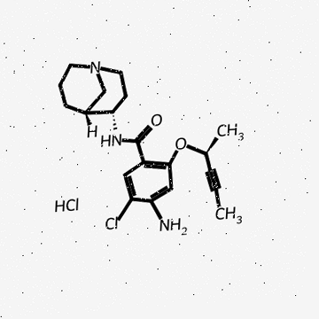 CC#C[C@H](C)Oc1cc(N)c(Cl)cc1C(=O)N[C@H]1CCN2CCC[C@@H]1C2.Cl